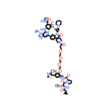 Cc1cc(F)c(Nc2nc(-c3ccc4c(c3)N([C@H]3C[C@@H](N5CCCCC5)C3)C(=O)C43CCN(C(=O)CCOCCOCCOCCOc4cc(-c5scnc5C)ccc4CNC(=O)[C@H]4CCCN4C(=O)[C@H](NC(=O)C4(F)CC4)C(C)(C)C)CC3)cc3ncn(C(C)C)c23)cc1C(=O)NC(C)C